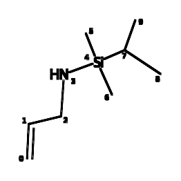 C=CCN[Si](C)(C)C(C)C